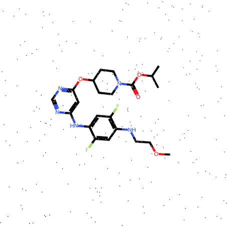 COCCNc1cc(F)c(Nc2cc(OC3CCN(C(=O)OC(C)C)CC3)ncn2)cc1F